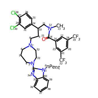 CCCCCn1c(N2CCCN(CCC(CN(C)C(=O)c3cc(C(F)(F)F)cc(C(F)(F)F)c3)c3ccc(Cl)c(Cl)c3)CC2)nc2ccccc21